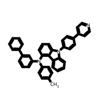 Cc1ccc(N(c2cccc(-c3ccccc3)c2)c2cccc3c2c2ccccc2n3-c2ccc(-c3ccncc3)cc2)cc1